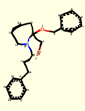 BrCC1(OCc2ccccc2)CCCCN1CCCc1ccccc1